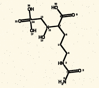 NC(=O)NCCCC(C(=O)O)N(O)CP(=O)(O)O